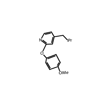 COc1ccc(Oc2cc(CC(C)C)ccn2)cc1